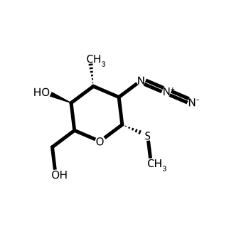 CS[C@@H]1OC(CO)[C@@H](O)[C@H](C)C1N=[N+]=[N-]